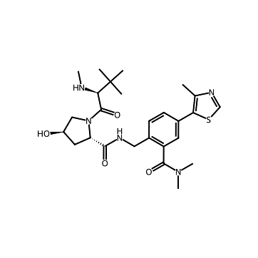 CN[C@H](C(=O)N1C[C@H](O)C[C@H]1C(=O)NCc1ccc(-c2scnc2C)cc1C(=O)N(C)C)C(C)(C)C